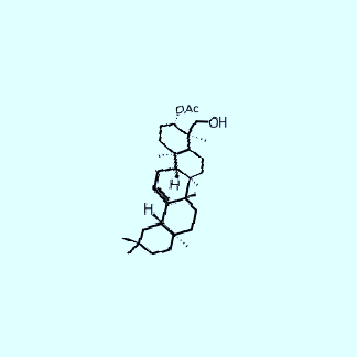 CC(=O)O[C@H]1CC[C@@]2(C)C(CC[C@]3(C)[C@@H]2CC=C2[C@H]4CC(C)(C)CC[C@]4(C)CC[C@]23C)[C@]1(C)CO